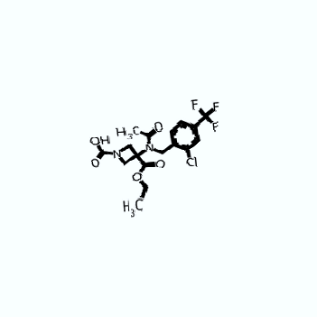 CCOC(=O)C1(N(Cc2ccc(C(F)(F)F)cc2Cl)C(C)=O)CN(C(=O)O)C1